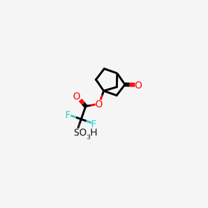 O=C1CC2(OC(=O)C(F)(F)S(=O)(=O)O)CCC1C2